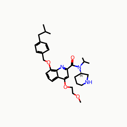 COCCOc1cc(C(=O)N(C(C)C)[C@@H]2CCCNC2)nc2c(OCc3ccc(CC(C)C)cc3)cccc12